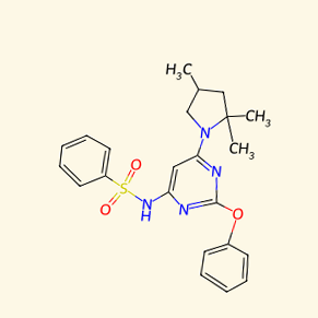 CC1CN(c2cc(NS(=O)(=O)c3ccccc3)nc(Oc3ccccc3)n2)C(C)(C)C1